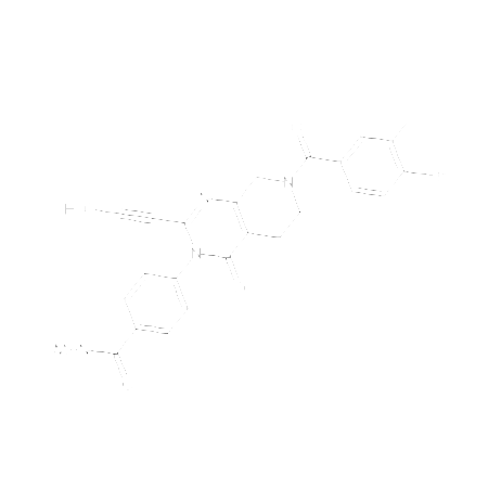 CC#Cc1nc2c(c(=O)n1-c1ccc(C(=O)NC)cc1)CCN(C(=O)c1ccc(Br)c(C(F)(F)F)c1)C2